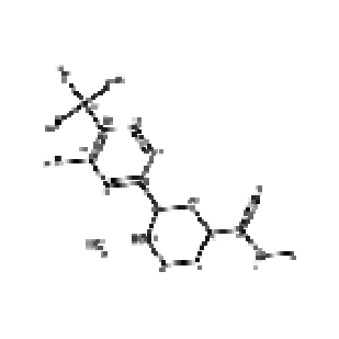 COC(=O)C1CCNC(c2ccc(C(F)(F)F)c(F)c2)C1.Cl